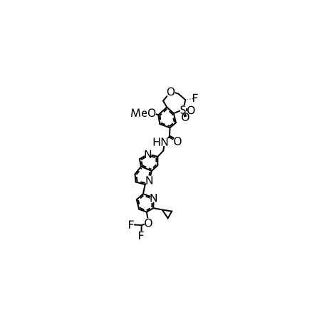 COc1cc(C(=O)NCc2cc3nc(-c4ccc(OC(F)F)c(C5CC5)n4)ccc3cn2)cc2c1COC[C@H](F)S2(=O)=O